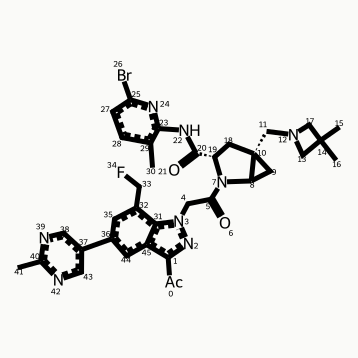 CC(=O)c1nn(CC(=O)N2C3C[C@]3(CN3CC(C)(C)C3)C[C@H]2C(=O)Nc2nc(Br)ccc2C)c2c(CF)cc(-c3cnc(C)nc3)cc12